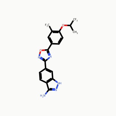 CC(Oc1ccc(-c2nc(-c3ccc4c(N)n[nH]c4c3)no2)cc1C(F)(F)F)C(F)(F)F